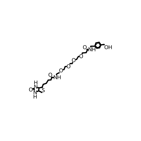 O=C(CCCCC1SCC2NC(=O)NC21)NCCOCCOCCOCCOCCC(=O)NCc1ccc(CO)cc1